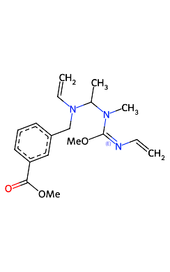 C=C/N=C(/OC)N(C)C(C)N(C=C)Cc1cccc(C(=O)OC)c1